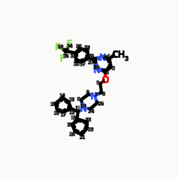 Cc1cc(OCCN2CCN(C(c3ccccc3)c3ccccc3)CC2)nc(-c2ccc(C(F)(F)F)cc2)n1